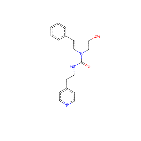 O=C(NCCc1ccncc1)N(C=Cc1ccccc1)CCO